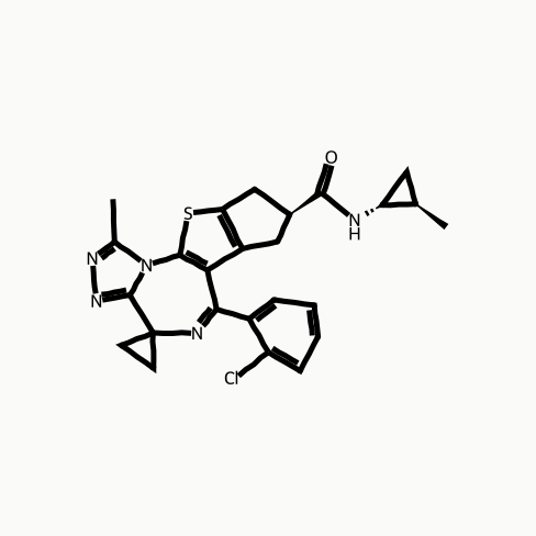 Cc1nnc2n1-c1sc3c(c1C(c1ccccc1Cl)=NC21CC1)C[C@H](C(=O)N[C@@H]1C[C@H]1C)C3